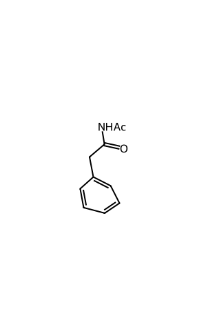 [CH2]C(=O)NC(=O)Cc1ccccc1